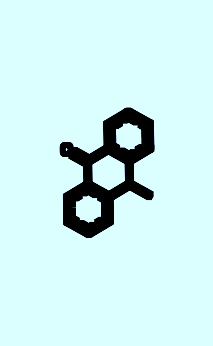 CC1c2ccccc2C(=O)c2ccccc21